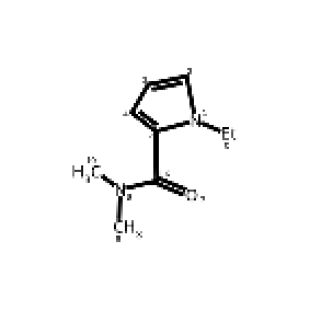 CCn1cccc1C(=O)N(C)C